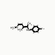 C=N/C=C\C(N)=C(/C)Nc1ccc(F)cc1